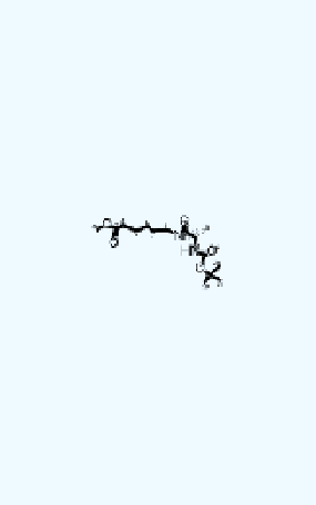 COC(=O)CCCCCNC(=O)[C@H](C)NC(=O)OC(C)(C)C